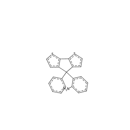 Nc1ccccc1C1(c2ccccc2)c2ccsc2-c2sccc21